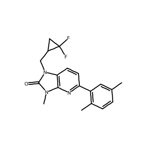 Cc1ccc(C)c(-c2ccc3c(n2)n(C)c(=O)n3CC2CC2(F)F)c1